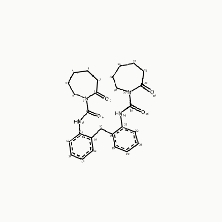 O=C1CCCCCN1C(=O)Nc1ccccc1Cc1ccccc1NC(=O)N1CCCCCC1=O